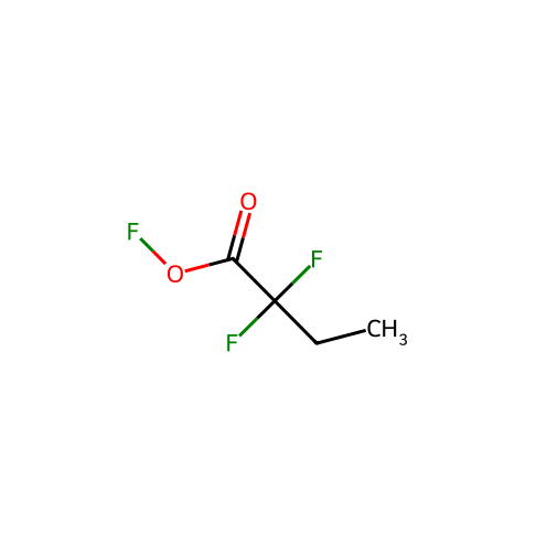 CCC(F)(F)C(=O)OF